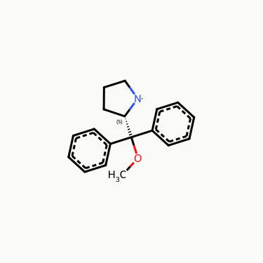 COC(c1ccccc1)(c1ccccc1)[C@@H]1CCC[N]1